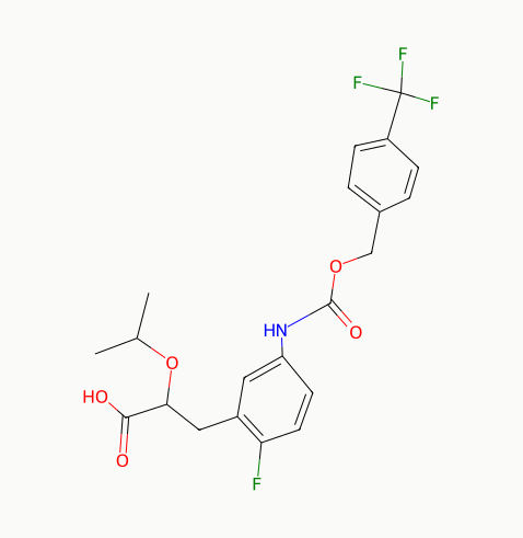 CC(C)OC(Cc1cc(NC(=O)OCc2ccc(C(F)(F)F)cc2)ccc1F)C(=O)O